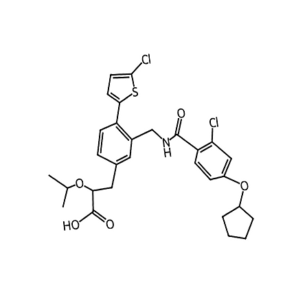 CC(C)OC(Cc1ccc(-c2ccc(Cl)s2)c(CNC(=O)c2ccc(OC3CCCC3)cc2Cl)c1)C(=O)O